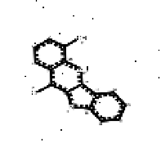 Oc1cccc2c(Cl)c3nc4ccccc4c-3[nH]c12